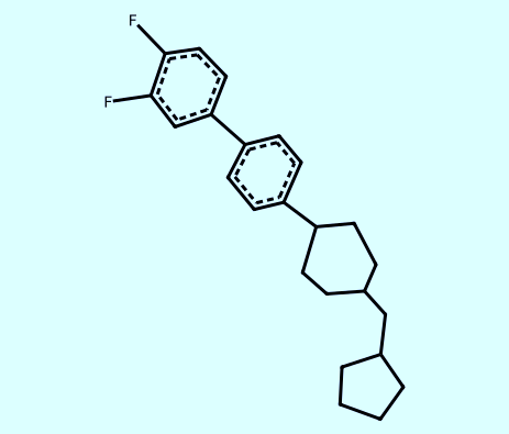 Fc1ccc(-c2ccc(C3CCC(CC4CCCC4)CC3)cc2)cc1F